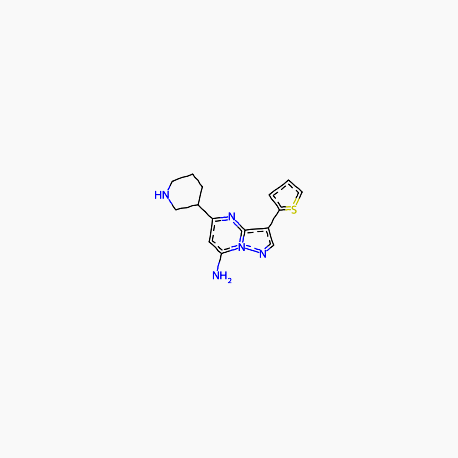 Nc1cc(C2CCCNC2)nc2c(-c3cccs3)cnn12